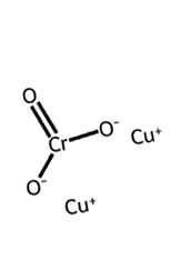 [Cu+].[Cu+].[O]=[Cr]([O-])[O-]